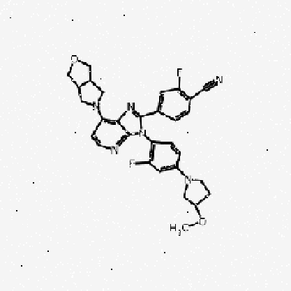 COC1CCN(c2ccc(-n3c(-c4ccc(C#N)c(F)c4)nc4c(N5CC6COCC6C5)ccnc43)c(F)c2)C1